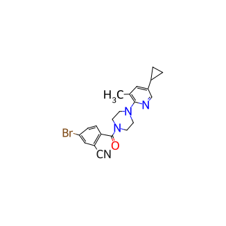 Cc1cc(C2CC2)cnc1N1CCN(C(=O)c2ccc(Br)cc2C#N)CC1